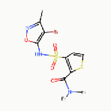 CCN(CC)C(=O)c1sccc1S(=O)(=O)Nc1onc(C)c1Br